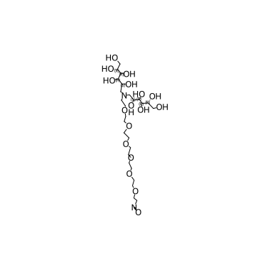 O=NCCOCCOCCOCCOCCOCCOCCN(C[C@H](O)[C@@H](O)[C@H](O)[C@H](O)CO)C[C@H](O)[C@@H](O)[C@H](O)[C@H](O)CO